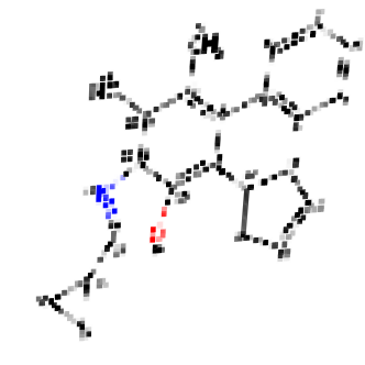 Cc1c(-c2ccccc2)c(C2CC=CC2)c2oc(C3CC3)nc2c1C#N